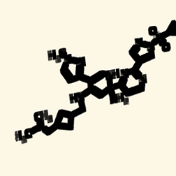 CN(C)CC1CC(CNC2=CC(N)(c3ccnc(-c4cnn(S(=O)(=O)C5CC5)c4)n3)NC=C2c2ccn(C)n2)C1